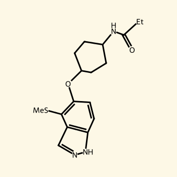 CCC(=O)NC1CCC(Oc2ccc3[nH]ncc3c2SC)CC1